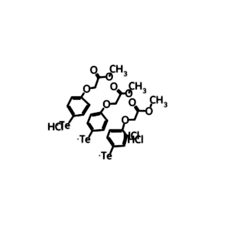 COC(=O)COc1ccc([Te])cc1.COC(=O)COc1ccc([Te])cc1.COC(=O)COc1ccc([Te])cc1.Cl.Cl.Cl